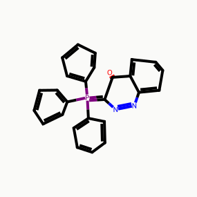 O=C1C(=P(c2ccccc2)(c2ccccc2)c2ccccc2)N=Nc2ccccc21